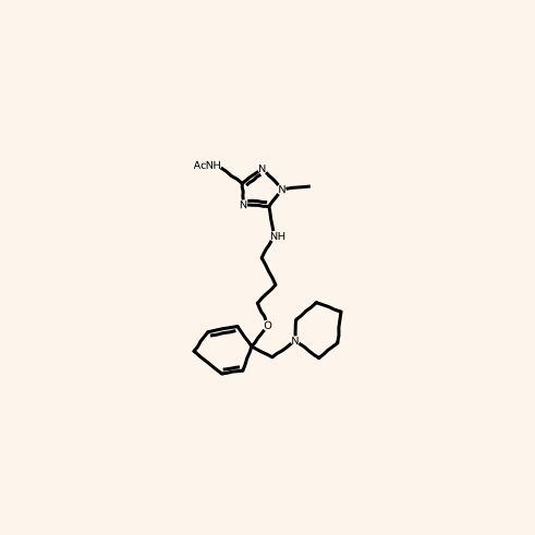 CC(=O)Nc1nc(NCCCOC2(CN3CCCCC3)C=CCC=C2)n(C)n1